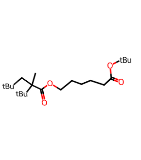 CC(C)(C)CC(C)(C(=O)OCCCCCC(=O)OC(C)(C)C)C(C)(C)C